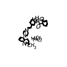 COc1ccccc1C(=O)Nc1cccc(CCN2CCN(c3cccc4nc(C)ccc34)CC2)c1.Cl.Cl